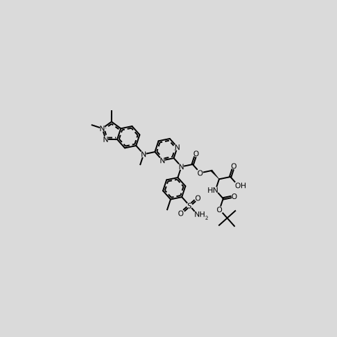 Cc1ccc(N(C(=O)OC[C@H](NC(=O)OC(C)(C)C)C(=O)O)c2nccc(N(C)c3ccc4c(C)n(C)nc4c3)n2)cc1S(N)(=O)=O